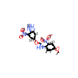 COc1ccc(NCOc2ccc(N)c([N+](=O)[O-])c2)c([N+](=O)[O-])c1